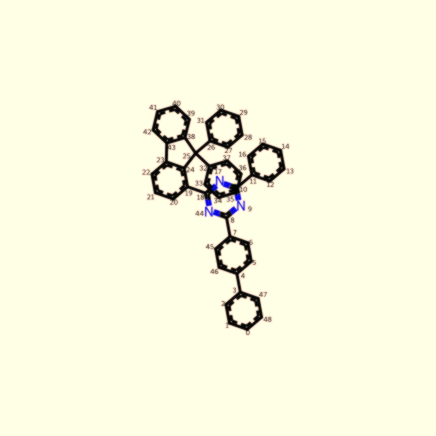 c1ccc(-c2ccc(-c3nc(-c4ccccc4)nc(-c4cccc5c4C(c4ccccc4)(c4ccccc4)c4ccccc4-5)n3)cc2)cc1